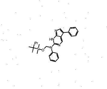 CC(C)C(C)(C)[Si](C)(C)OCN(c1ccccc1)c1ncc2c(-c3ccccc3)cnc-2[nH]1